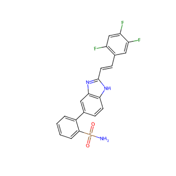 NS(=O)(=O)c1ccccc1-c1ccc2[nH]c(C=Cc3cc(F)c(F)cc3F)nc2c1